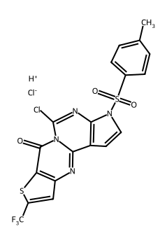 Cc1ccc(S(=O)(=O)n2ccc3c2nc(Cl)n2c(=O)c4sc(C(F)(F)F)cc4nc32)cc1.[Cl-].[H+]